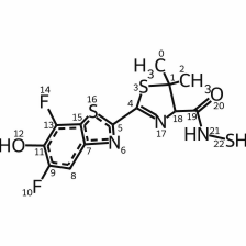 CC1(C)SC(c2nc3cc(F)c(O)c(F)c3s2)=NC1C(=O)NS